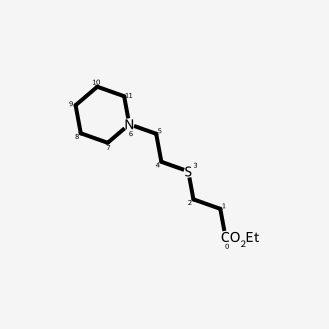 CCOC(=O)CCSCCN1CCCCC1